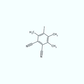 Cc1c(C)c(C#N)c(C#N)c(C)c1I